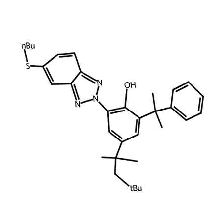 CCCCSc1ccc2nn(-c3cc(C(C)(C)CC(C)(C)C)cc(C(C)(C)c4ccccc4)c3O)nc2c1